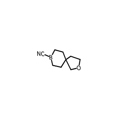 N#CB1CCC2(CCOC2)CC1